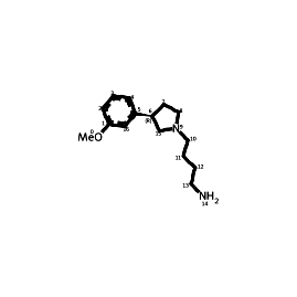 COc1cccc([C@H]2CCN(CCCCN)C2)c1